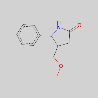 COCC1CC(=O)NC1c1ccccc1